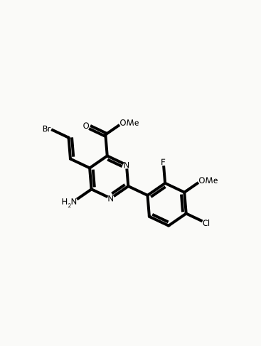 COC(=O)c1nc(-c2ccc(Cl)c(OC)c2F)nc(N)c1C=CBr